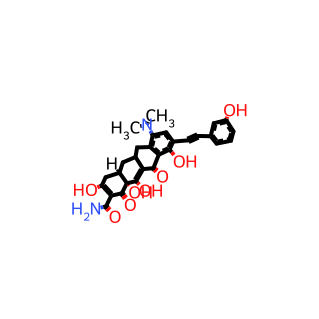 CN(C)c1cc(C#Cc2cccc(O)c2)c(O)c2c1CC1C[C@H]3CC(O)=C(C(N)=O)C(=O)[C@@]3(O)C(O)=C1C2=O